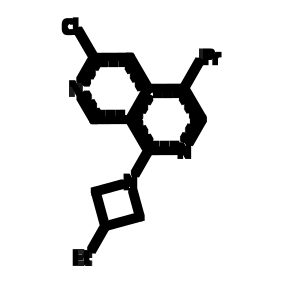 CCC1CN(c2ncc(C(C)C)c3cc(Cl)ncc23)C1